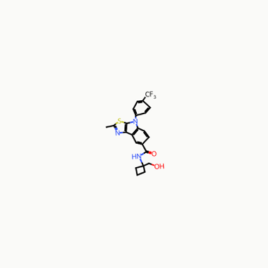 Cc1nc2c3cc(C(=O)NC4(CO)CCC4)ccc3n(-c3ccc(C(F)(F)F)cc3)c2s1